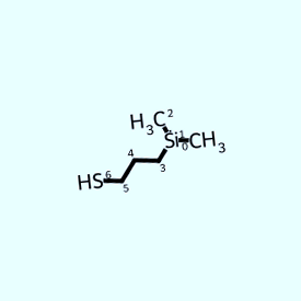 C[Si](C)CCCS